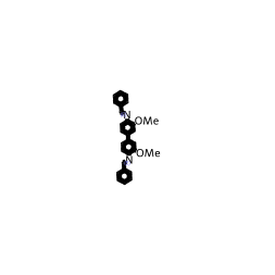 COc1cc(-c2ccc(/N=C/c3ccccc3)c(OC)c2)ccc1/N=C/c1ccccc1